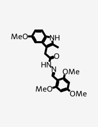 COc1cc(OC)c(/C=N/NC(=O)Cc2c(C)[nH]c3ccc(OC)cc23)c(OC)c1